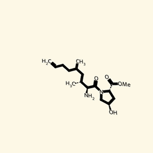 C=CCCC(C)C[C@@H](C)[C@H](N)C(=O)N1C[C@H](O)C[C@H]1C(=O)OC